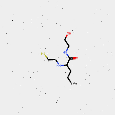 CSCCC(NCCS)C(=O)NCCO